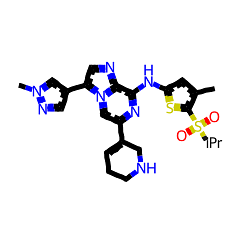 Cc1cc(Nc2nc(C3=CCCNC3)cn3c(-c4cnn(C)c4)cnc23)sc1S(=O)(=O)C(C)C